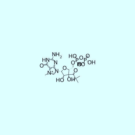 C[n+]1cn([C@@H]2O[C@H](COP(=O)(O)OP(=O)(O)O)[C@](O)(C(=O)C(C)(C)C)[C@H]2O)c2nc(N)[nH]c(=O)c21